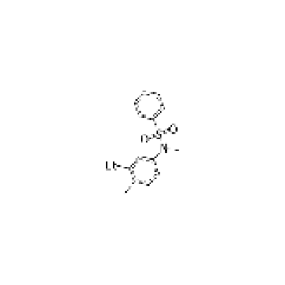 CCc1cc(N(C)S(=O)(=O)c2ccccc2)ccc1C